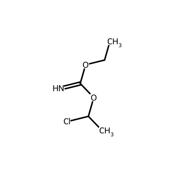 CCOC(=N)OC(C)Cl